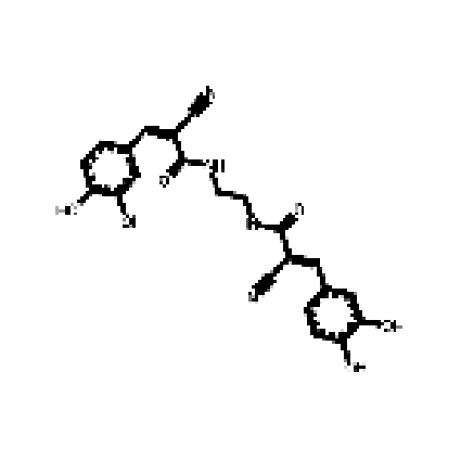 N#CC(=Cc1ccc(O)c(O)c1)C(=O)NCCNC(=O)C(C#N)=Cc1ccc(O)c(O)c1